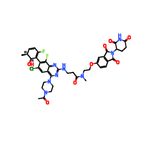 CC(=O)N1CCN(c2nc(NCCC(=O)N(C)CCOc3ccc4c(c3)C(=O)N(C3CCC(=O)NC3=O)C4=O)nc3c(F)c(C4=C(F)C=C[C@H](C)[C@@H]4O)c(Cl)cc23)CC1